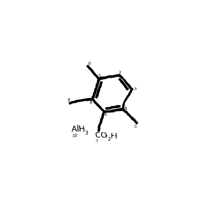 Cc1ccc(C)c(C(=O)O)c1C.[AlH3]